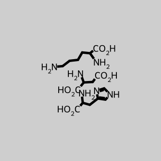 NC(CC(=O)O)C(=O)O.NC(Cc1c[nH]cn1)C(=O)O.NCCCCC(N)C(=O)O